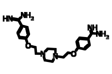 N=C(N)c1ccc(OCCN2CCN(CCOc3ccc(C(=N)N)cc3)CC2)cc1